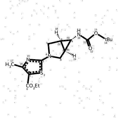 CCOC(=O)c1sc(N2C[C@@H]3[C@H](C2)[C@H]3NC(=O)OC(C)(C)C)nc1C